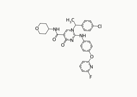 CC(c1ccc(Cl)cc1)n1cc(C(=O)NC2CCOCC2)c(=O)nc1Nc1ccc(Oc2cccc(F)n2)cc1